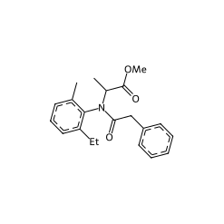 CCc1cccc(C)c1N(C(=O)Cc1ccccc1)C(C)C(=O)OC